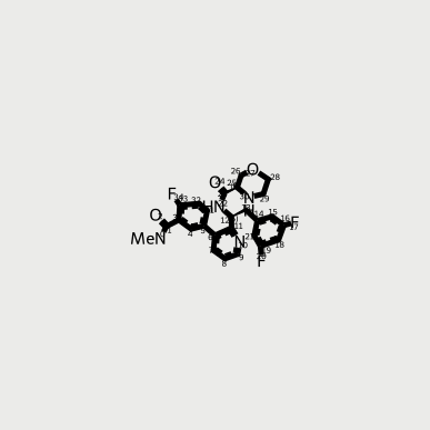 CNC(=O)c1cc(-c2cccnc2[C@H](Cc2cc(F)cc(F)c2)NC(=O)[C@H]2COCCN2)ccc1F